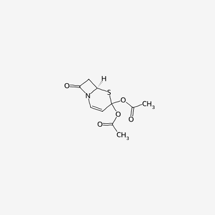 CC(=O)OC1(OC(C)=O)C=CN2C(=O)C[C@H]2S1